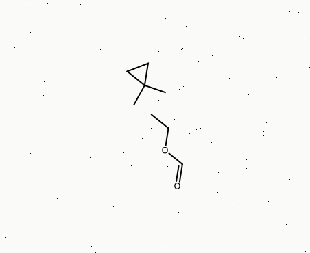 CC1(C)CC1.CCOC=O